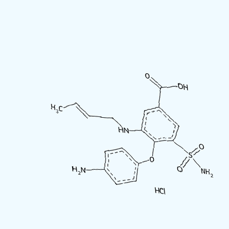 C/C=C/CNc1cc(C(=O)O)cc(S(N)(=O)=O)c1Oc1ccc(N)cc1.Cl